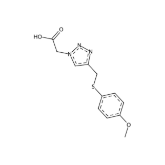 COc1ccc(SCc2cn(CC(=O)O)nn2)cc1